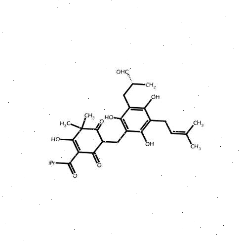 CC(C)=CCc1c(O)c(CC2C(=O)C(C(=O)C(C)C)=C(O)C(C)(C)C2=O)c(O)c(C[C@@H](C)C=O)c1O